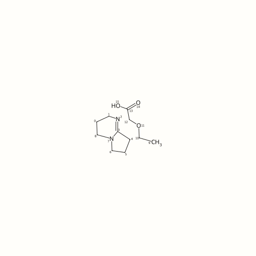 C1CN=C2CCCN2C1.CCOCC(=O)O